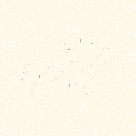 Cc1cc(F)cc(C)c1Oc1ccc(C(C)(C)O)cc1-c1cn(C)c(=O)cc1OC1CCC(N(C)C(=O)C(C)(C)C)CC1